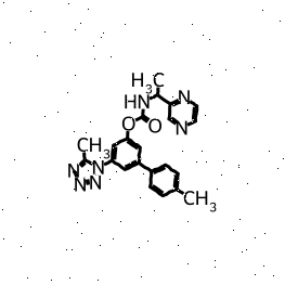 Cc1ccc(-c2cc(OC(=O)NC(C)c3cnccn3)cc(-n3nnnc3C)c2)cc1